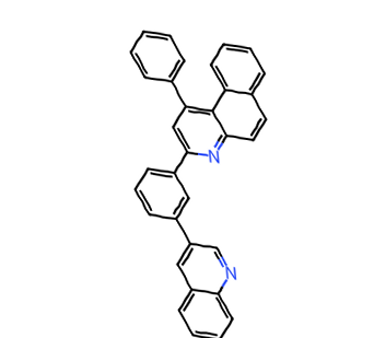 c1ccc(-c2cc(-c3cccc(-c4cnc5ccccc5c4)c3)nc3ccc4ccccc4c23)cc1